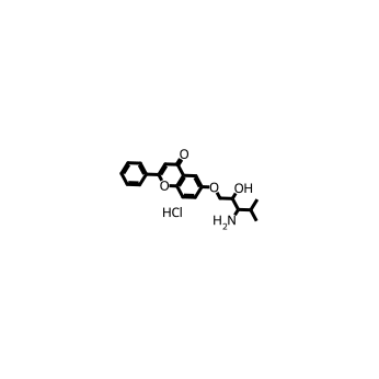 CC(C)C(N)C(O)COc1ccc2oc(-c3ccccc3)cc(=O)c2c1.Cl